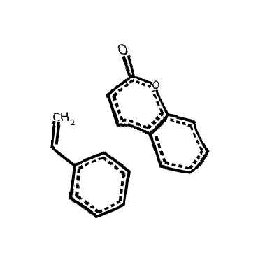 C=Cc1ccccc1.O=c1ccc2ccccc2o1